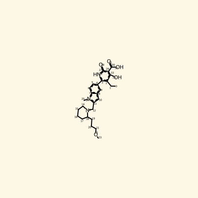 CCc1c(-c2ccc3c(c2)cc(CN2CCCCC2CCCOC)n3C)[nH]c(=O)c(C(=O)O)c1O